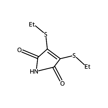 CCSC1=C(SCC)C(=O)NC1=O